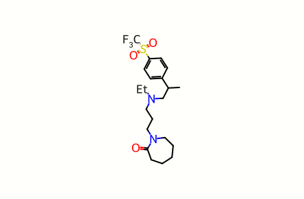 CCN(CCCN1CCCCCC1=O)CC(C)c1ccc(S(=O)(=O)C(F)(F)F)cc1